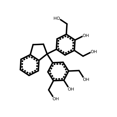 OCc1cc(C2(c3cc(CO)c(O)c(CO)c3)CCc3ccccc32)cc(CO)c1O